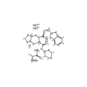 CN[C@@H](C)C(=O)N[C@H](C(=O)N1C[C@H]2CCCN2C[C@H]1C(=O)N[C@H]1c2ccccc2C[C@H]1O)C1CCCCC1.Cl.Cl